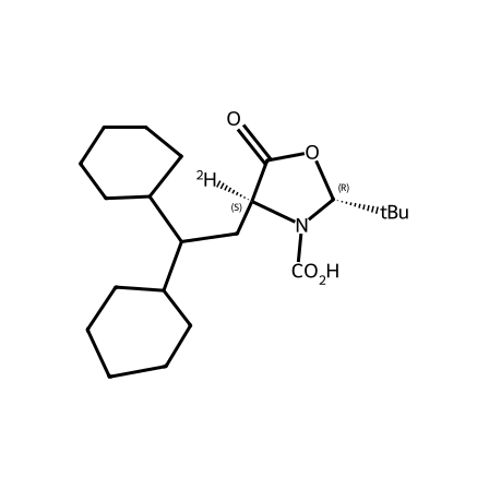 [2H][C@]1(CC(C2CCCCC2)C2CCCCC2)C(=O)O[C@H](C(C)(C)C)N1C(=O)O